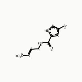 O=C(O)/C=C/CNC(=O)c1cc(Br)c[nH]1